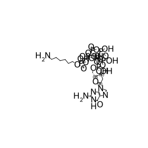 NCCCCCCOP(=O)(O)OP(=O)(O)OP(=O)(O)OP(=O)(O)OP(=O)(O)OP(=O)(O)OC[C@H]1O[C@@H](n2cnc3c(=O)[nH]c(N)nc32)C[C@H]1O